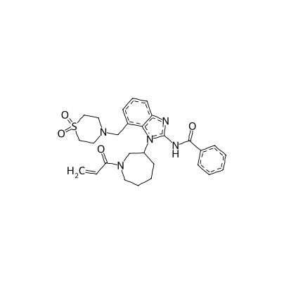 C=CC(=O)N1CCCCC(n2c(NC(=O)c3ccccc3)nc3cccc(CN4CCS(=O)(=O)CC4)c32)C1